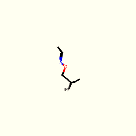 [CH2]C=NOCC(C)C(C)C